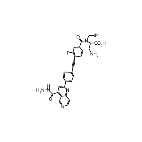 CC(C)CN(C(=O)c1ccc(C#Cc2ccc(-c3cc(C(=O)NN)c4cnccc4n3)cc2)c(F)c1)C(CN)C(=O)O